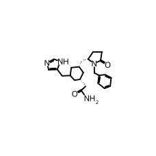 NC(=O)C[C@@H]1CC(Cc2cnc[nH]2)C[C@H](C[C@@H]2CCC(=O)N2Cc2ccccc2)C1